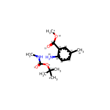 CNC(=O)OC(C)(C)C.COC(=O)c1cc(C)ccc1N